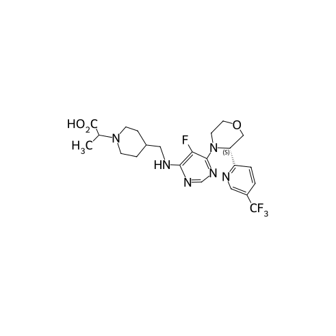 CC(C(=O)O)N1CCC(CNc2ncnc(N3CCOC[C@@H]3c3ccc(C(F)(F)F)cn3)c2F)CC1